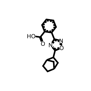 O=C(O)c1ccccc1-c1noc(C2CC3CCC2C3)n1